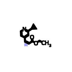 CCOC(=O)/C=C\c1ccnc(C2CC2)c1